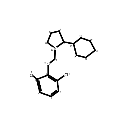 Clc1cccc(Cl)c1OCN1CCCC1C1CCCCC1